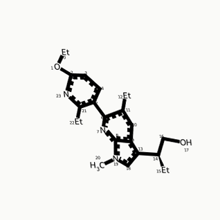 CCOc1ccc(-c2nc3c(cc2CC)c([C@H](CC)CO)cn3C)c(CC)n1